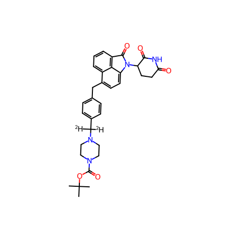 [2H]C([2H])(c1ccc(Cc2ccc3c4c(cccc24)C(=O)N3C2CCC(=O)NC2=O)cc1)N1CCN(C(=O)OC(C)(C)C)CC1